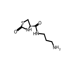 NCCCNC(=O)[C@@H]1CSC(=O)N1